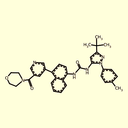 Cc1ccc(-n2nc(C(C)(C)C)cc2NC(=O)Nc2ccc(-c3cncc(C(=O)N4CCOCC4)c3)c3ccccc23)cc1